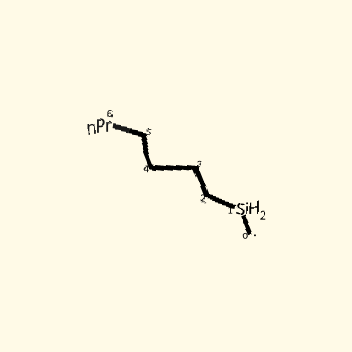 [CH2][SiH2]CCCCCCC